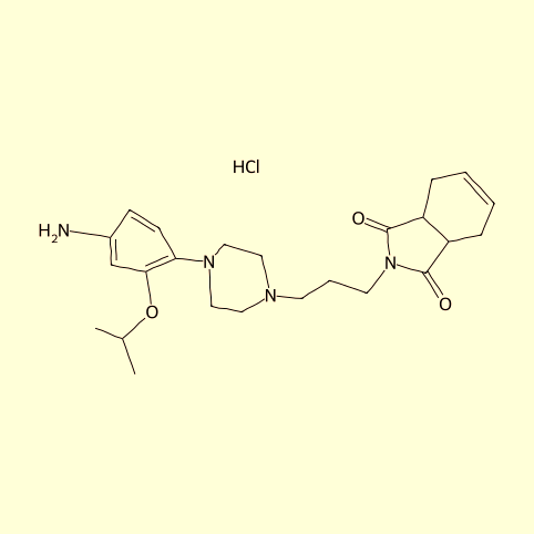 CC(C)Oc1cc(N)ccc1N1CCN(CCCN2C(=O)C3CC=CCC3C2=O)CC1.Cl